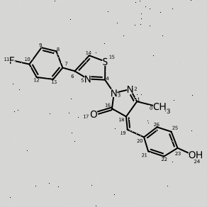 CC1=NN(c2nc(-c3ccc(F)cc3)cs2)C(=O)/C1=C/c1ccc(O)cc1